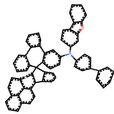 c1ccc(-c2ccc(N(c3ccc4c(c3)-c3ccccc3-c3ccccc3C43c4ccccc4-c4c3cc3ccc5cccc6ccc4c3c56)c3ccc4c(c3)oc3ccccc34)cc2)cc1